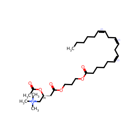 CCCCC/C=C\C/C=C\C/C=C\CCCCC(=O)OCCCOC(=O)C[C@H](C[N+](C)(C)C)OC(C)=O